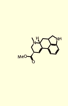 COC(=O)[C@@H]1C=C2c3cccc4c3C(CN4)C[C@H]2N(C)C1